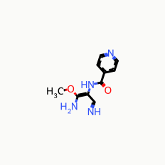 CO/C(N)=C(/C=N)NC(=O)c1ccncc1